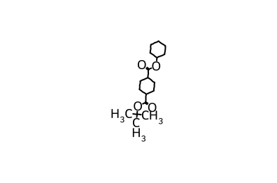 CC(C)(C)OC(=O)C1CCC(C(=O)OC2CCCCC2)CC1